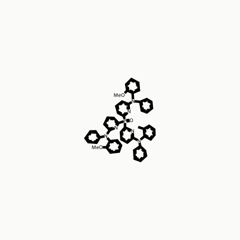 COc1ccccc1N(c1ccccc1)c1cccc(P(=O)(c2cccc(N(c3ccccc3)c3ccccc3C)n2)c2cccc(N(c3ccccc3)c3ccccc3OC)n2)n1